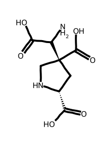 NC(C(=O)O)[C@]1(C(=O)O)CN[C@@H](C(=O)O)C1